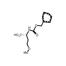 CC(C)(C)OCC[C@@H](NC(=O)OCc1ccccc1)C(=O)O